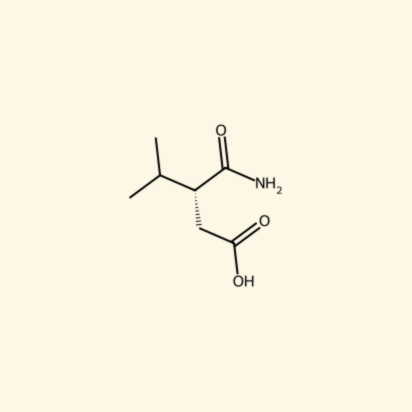 CC(C)[C@@H](CC(=O)O)C(N)=O